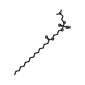 CCCCCCCCCCCCCCCC(=O)OCCCOP(=O)(O)OCCN(C)C